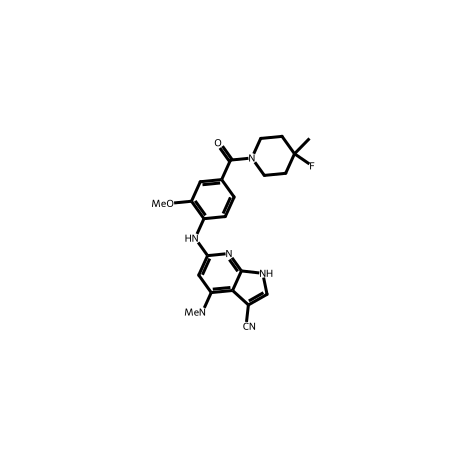 CNc1cc(Nc2ccc(C(=O)N3CCC(C)(F)CC3)cc2OC)nc2[nH]cc(C#N)c12